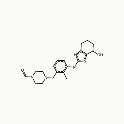 Cc1c(CN2CCN(C=O)CC2)cccc1Nc1nc2c(s1)C(O)CCC2